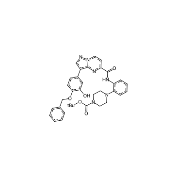 CC(C)(C)OC(=O)N1CCN(c2ccccc2NC(=O)c2ccn3ncc(-c4ccc(OCc5ccccc5)c(O)c4)c3n2)CC1